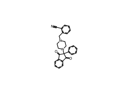 N#Cc1ccccc1CN1CCN(C2(c3ccccc3)C(=O)c3ccccc3C2=O)CC1